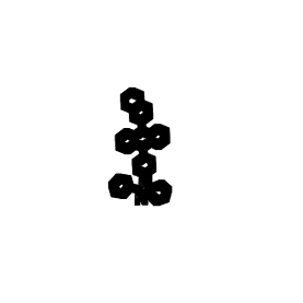 C1=Cc2ccc(-c3c4ccccc4c(C4=CC=C(n5c(-c6ccccc6)nc6ccccc65)CC4)c4ccccc34)cc2CC1